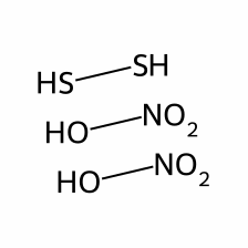 O=[N+]([O-])O.O=[N+]([O-])O.SS